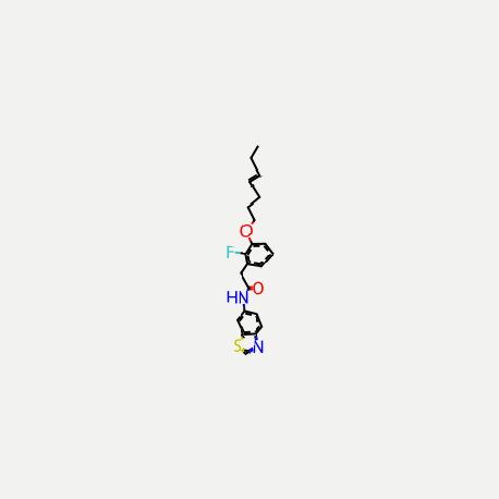 CCC=CCCCOc1cccc(CC(=O)Nc2ccc3ncsc3c2)c1F